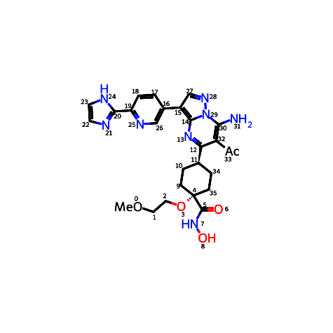 COCCO[C@]1(C(=O)NO)CC[C@@H](c2nc3c(-c4ccc(-c5ncc[nH]5)nc4)cnn3c(N)c2C(C)=O)CC1